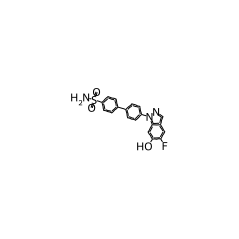 NS(=O)(=O)c1ccc(-c2ccc(-n3ncc4cc(F)c(O)cc43)cc2)cc1